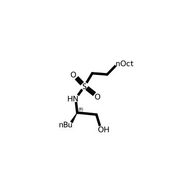 CCCCCCCCCCS(=O)(=O)N[C@@H](CO)CCCC